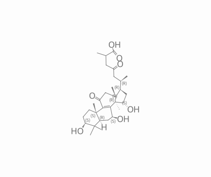 CC(CC(=O)C[C@@H](C)[C@H]1C[C@H](O)[C@@]2(C)C3=C(C(=O)C[C@]12C)[C@@]1(C)CC[C@H](O)C(C)(C)[C@@H]1C[C@@H]3O)C(=O)O